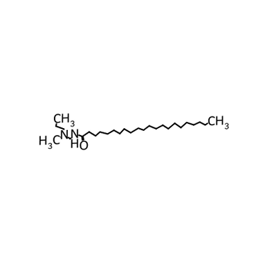 CCCCCCCCCCCCCCCCCCCCCC(=O)NCN(C)CCC